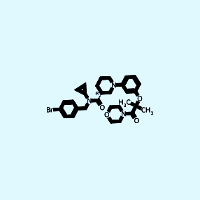 CC(C)(Oc1cccc(N2CCC[C@@H](C(=O)N(Cc3ccc(Br)cc3)C3CC3)C2)c1)C(=O)N1CCOCC1